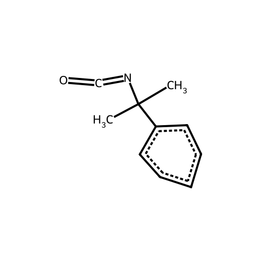 CC(C)(N=C=O)c1ccccc1